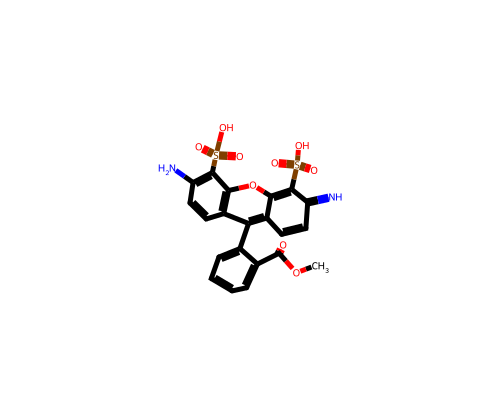 COC(=O)c1ccccc1-c1c2ccc(=N)c(S(=O)(=O)O)c-2oc2c(S(=O)(=O)O)c(N)ccc12